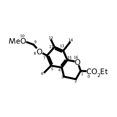 CCOC(=O)C1CCc2c(C)c(OCOC)c(C)c(C)c2O1